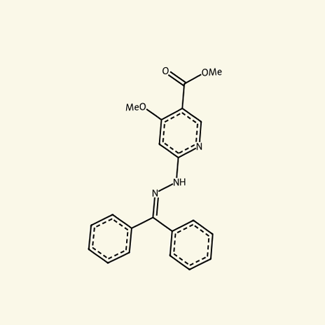 COC(=O)c1cnc(NN=C(c2ccccc2)c2ccccc2)cc1OC